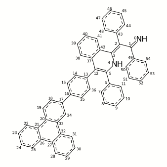 N=C(/C(=C1\NC(c2ccccc2)=C(c2ccc(-c3ccc4c5ccccc5c5ccccc5c4c3)cc2)c2ccccc21)c1ccccc1)c1ccccc1